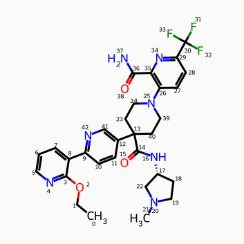 CCOc1ncccc1-c1ccc(C2(C(=O)N[C@@H]3CCN(C)C3)CCN(c3ccc(C(F)(F)F)nc3C(N)=O)CC2)cn1